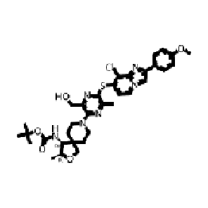 COc1ccc(-c2cn3ccc(Sc4nc(CO)c(N5CCC6(CC5)CO[C@@H](C)[C@H]6NC(=O)OC(C)(C)C)nc4C)c(Cl)c3n2)cc1